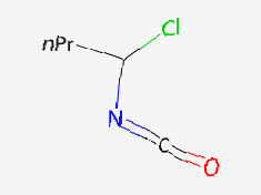 CCCC(Cl)N=C=O